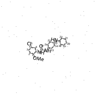 COc1ccc(Cl)cc1NC(=O)Nc1ccc(Nc2ccccc2)cc1